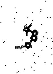 CCOC(=O)c1cnn(-c2ccn3ncc(-c4c(C)noc4C)c3c2)c1